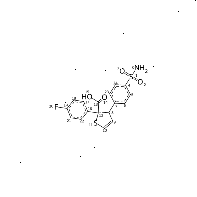 NS(=O)(=O)c1ccc(C2C=CSC2(C(=O)O)c2ccc(F)cc2)cc1